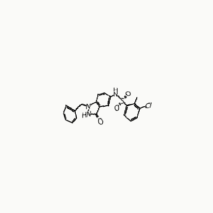 Cc1c(Cl)cccc1S(=O)(=O)Nc1ccc2c(c1)c(=O)[nH]n2Cc1ccccc1